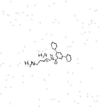 NCCC[C@H](N)CNC(=O)c1cc(-c2ccccc2)cc(-c2ccccc2)c1